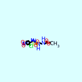 CCOC(=O)CNCCNS(=O)(=O)c1nnc(-c2ccc([N+](=O)[O-])cc2Cl)s1